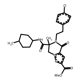 COC(=O)c1cc2n(n1)CC(C)(C(=O)NC1CCC(C)CC1)N(CCc1ccc(Cl)cc1)C2=O